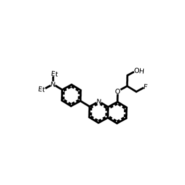 CCN(CC)c1ccc(-c2ccc3cccc(OC(CO)CF)c3n2)cc1